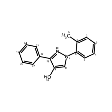 Cc1ccccc1-n1cc(O)c(-c2ccccc2)n1